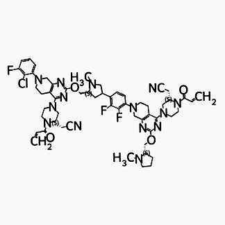 C=CC(=O)N1CCN(c2nc(OC[C@@H]3CCCN3C)nc3c2CCN(c2ccc(C4C[C@@H](COc5nc6c(c(N7CCN(C(=O)C=C)[C@@H](CC#N)C7)n5)CCN(c5cccc(F)c5Cl)C6)N(C)C4)c(F)c2F)C3)C[C@@H]1CC#N